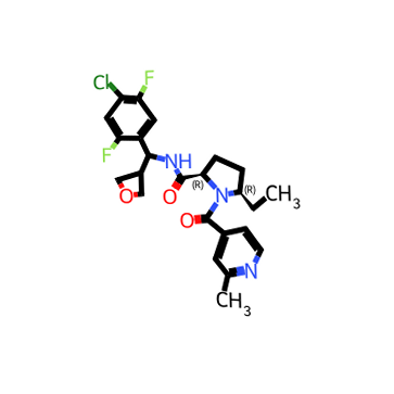 CC[C@@H]1CC[C@H](C(=O)NC(c2cc(F)c(Cl)cc2F)C2COC2)N1C(=O)c1ccnc(C)c1